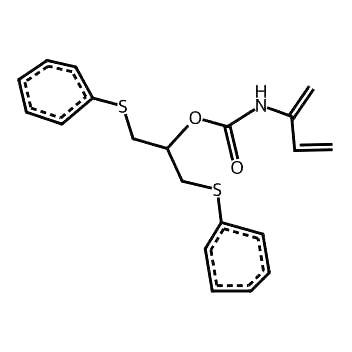 C=CC(=C)NC(=O)OC(CSc1ccccc1)CSc1ccccc1